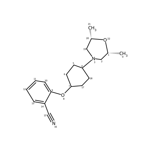 C[C@@H]1CN(C2CCC(Oc3ccccc3C#N)CC2)C[C@H](C)O1